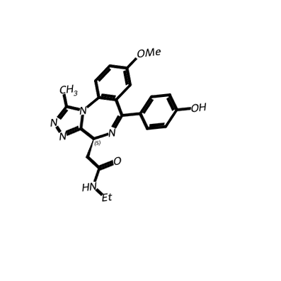 CCNC(=O)C[C@@H]1N=C(c2ccc(O)cc2)c2cc(OC)ccc2-n2c(C)nnc21